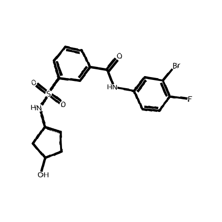 O=C(Nc1ccc(F)c(Br)c1)c1cccc(S(=O)(=O)NC2CCC(O)C2)c1